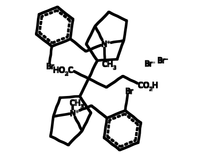 C[N+]1(Cc2ccccc2Br)C2CCC1CC(C(CCC(=O)O)(C(=O)O)C1CC3CCC(C1)[N+]3(C)Cc1ccccc1Br)C2.[Br-].[Br-]